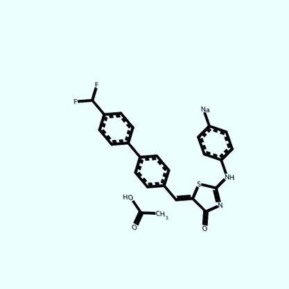 CC(=O)O.O=C1N=C(Nc2cc[c]([Na])cc2)SC1=Cc1ccc(-c2ccc(C(F)F)cc2)cc1